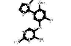 COc1cc(C(C)C)c(Oc2cnc(N)nc2N)cc1-c1nccn1C